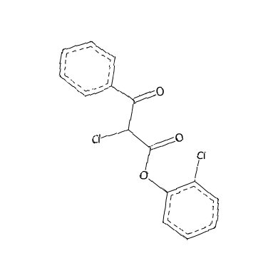 O=C(Oc1ccccc1Cl)C(Cl)C(=O)c1ccccc1